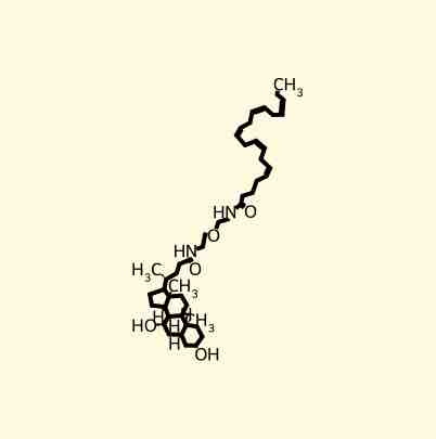 CC/C=C\C/C=C\C/C=C\C/C=C\C/C=C\CCCC(=O)NCCOCCNC(=O)CC[C@@H](C)C1CC[C@H]2[C@@H]3[C@H](O)C[C@@H]4C[C@H](O)CC[C@]4(C)[C@H]3CC[C@]12C